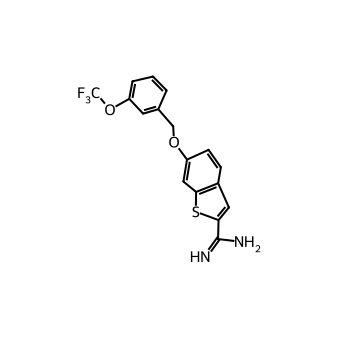 N=C(N)c1cc2ccc(OCc3cccc(OC(F)(F)F)c3)cc2s1